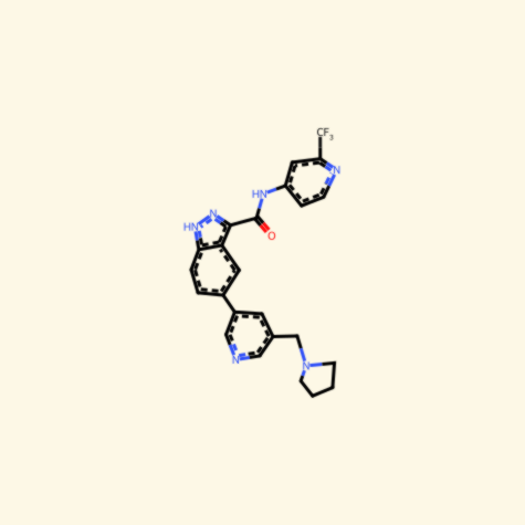 O=C(Nc1ccnc(C(F)(F)F)c1)c1n[nH]c2ccc(-c3cncc(CN4CCCC4)c3)cc12